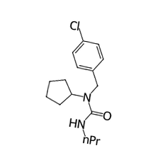 CCCNC(=O)N(Cc1ccc(Cl)cc1)C1CCCC1